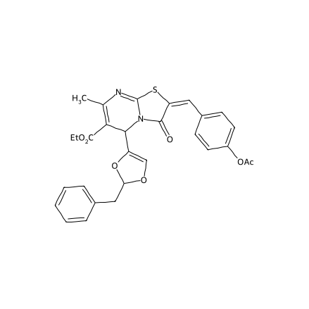 CCOC(=O)C1=C(C)N=c2sc(=Cc3ccc(OC(C)=O)cc3)c(=O)n2C1C1=COC(Cc2ccccc2)O1